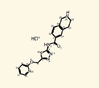 Cl.O=C(Nc1nnc(COc2ccccn2)s1)c1ccc2c(c1)CCNC2